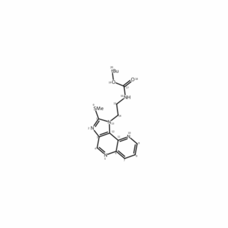 CSc1nc2cnc3cccnc3c2n1CCNC(=O)OC(C)(C)C